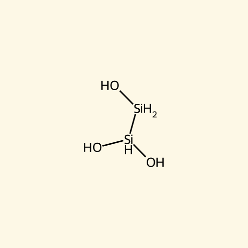 O[SiH2][SiH](O)O